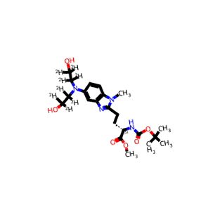 [2H]C([2H])(O)C([2H])([2H])N(c1ccc2c(c1)nc(CC[C@H](NC(=O)OC(C)(C)C)C(=O)OC)n2C)C([2H])([2H])C([2H])([2H])O